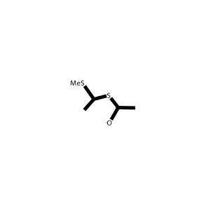 CSC(C)SC(C)[O]